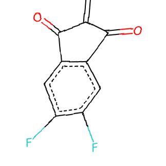 C=C1C(=O)c2cc(F)c(F)cc2C1=O